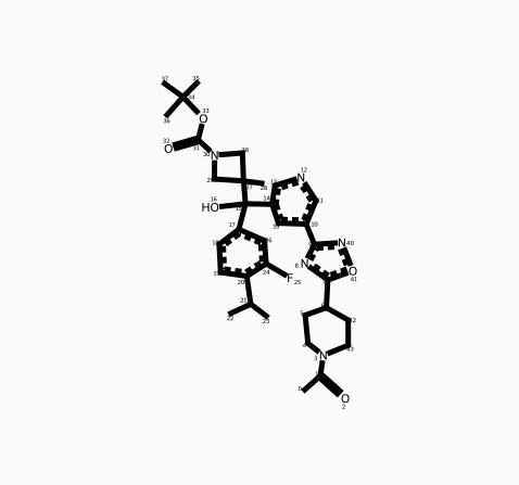 CC(=O)N1CCC(c2nc(-c3cncc(C(O)(c4ccc(C(C)C)c(F)c4)C4(C)CN(C(=O)OC(C)(C)C)C4)c3)no2)CC1